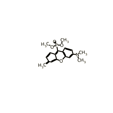 C=c1ccc2c(c1)Oc1cc(N(C)C)ccc1C=2P(=O)(OC)OC